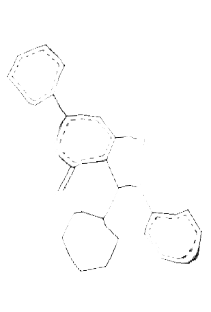 O=c1oc(-c2ccccc2)cc(O)c1C(Sc1ccccc1)C1CCCCC1